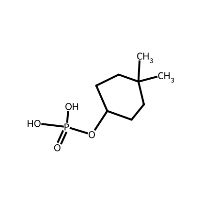 CC1(C)CCC(OP(=O)(O)O)CC1